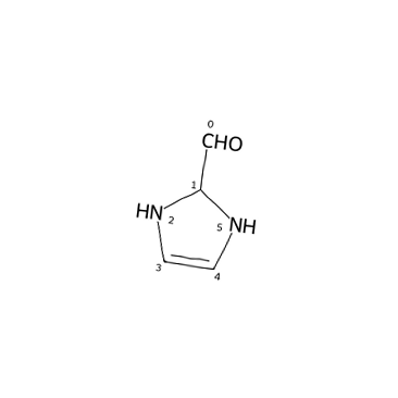 O=CC1NC=CN1